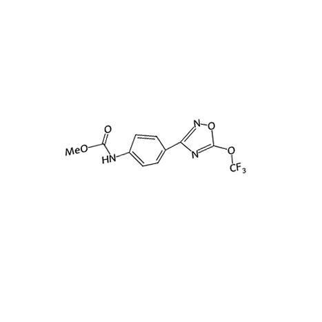 COC(=O)Nc1ccc(-c2noc(OC(F)(F)F)n2)cc1